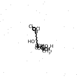 C[N+](C)(C)CC(CC(=O)O)OP(=O)(O)OCCCCCCCCOc1ccc(Cl)cc1Cl.[OH-]